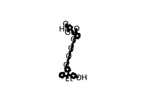 CC/C(=C(\c1ccc(O)cc1)c1ccc(OCCCOCCCOCCCOc2cccc3c2CN(C2CCC(=O)NC2=O)C3=O)cc1)c1ccccc1